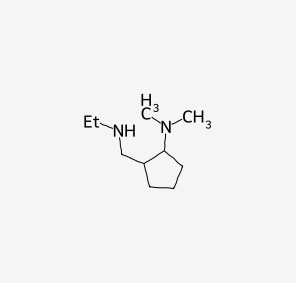 CCNCC1CCCC1N(C)C